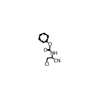 N#CC(CCl)NC(=O)Oc1ccccc1